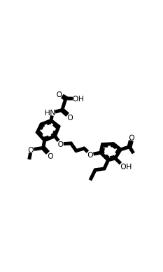 CCCc1c(OCCCOc2cc(NC(=O)C(=O)O)ccc2C(=O)OC)ccc(C(C)=O)c1O